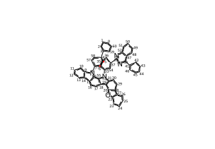 c1ccc(-c2ccc(-n3c4ccccc4c4ccc5c6c7oc8ccccc8c7ccc6n(-c6cccc(-c7nc(-c8ccccc8)c8ccccc8n7)c6)c5c43)cc2)cc1